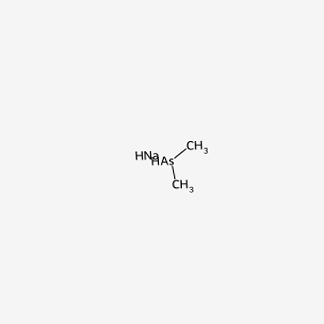 C[AsH]C.[NaH]